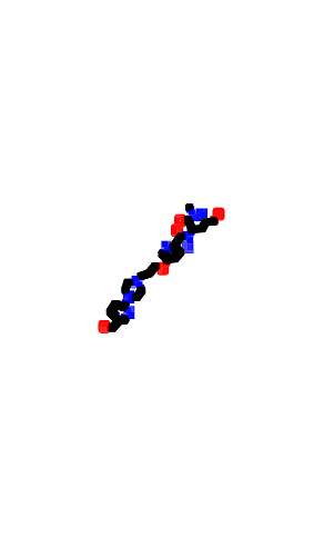 CNC(=O)C(CCC=O)NC(=O)c1ccc(OCCCN2CCN(c3ccc(C=O)cn3)CC2)cn1